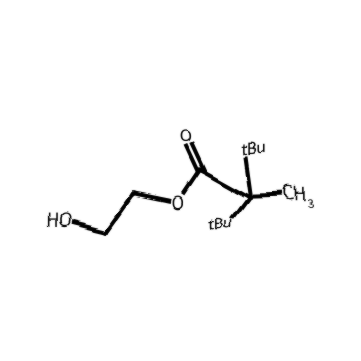 CC(C)(C)C(C)(C(=O)OCCO)C(C)(C)C